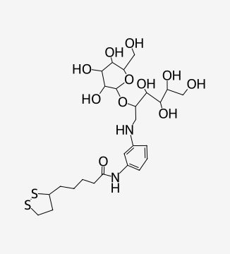 O=C(CCCCC1CCSS1)Nc1cccc(NCC(OC2OC(CO)C(O)C(O)C2O)C(O)C(O)C(O)CO)c1